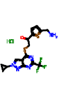 Cl.NCc1ccc(C(=O)CSc2nc(C(F)(F)F)nc3nn(C4CC4)cc23)s1